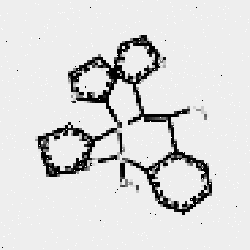 CC1=C(c2cccs2)[B-](c2cccs2)(c2cccs2)[N+](C)(C)c2ccccc21